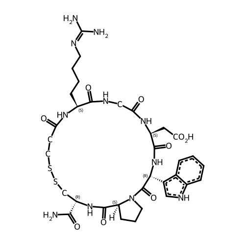 NC(=O)[C@@H]1CSSCCC(=O)N[C@@H](CCCCN=C(N)N)C(=O)NCC(=O)N[C@@H](CC(=O)O)C(=O)N[C@H](c2c[nH]c3ccccc23)C(=O)N2CCC[C@H]2C(=O)N1